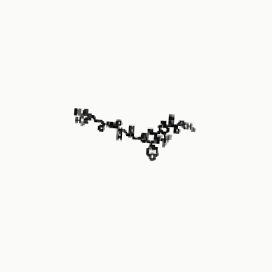 COC(=O)Nc1cc(C(F)(F)F)c(-c2nc(N3CCOCC3)c3cc(CNCCNC(=O)CNC(=O)/C=C/CN(C)C)cn3n2)cn1